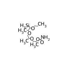 CCCOC([SiH3])C(C)OCC(C)OCC(C)OC(N)=O